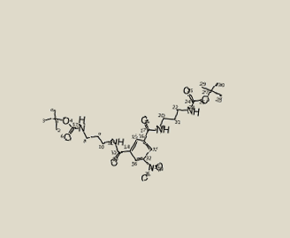 CC(C)(C)OC(=O)NCCCNC(=O)c1cc(C(=O)NCCCNC(=O)OC(C)(C)C)cc([N+](=O)[O-])c1